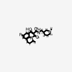 CC1CCc2cc(F)cc3c(O)c(C(=O)NCC4CCCN(C)C4)c(=O)n1c23